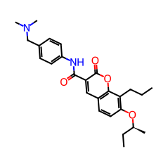 CCCc1c(O[C@@H](C)CC)ccc2cc(C(=O)Nc3ccc(CN(C)C)cc3)c(=O)oc12